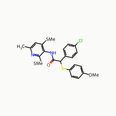 COc1ccc(SC(C(=O)Nc2c(SC)cc(C)nc2SC)c2ccc(Cl)cc2)cc1